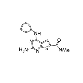 CNC(=O)c1cc2c(Nc3ccccc3)nc(N)nc2s1